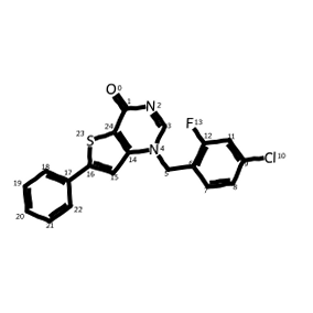 O=c1ncn(Cc2ccc(Cl)cc2F)c2cc(-c3ccccc3)sc12